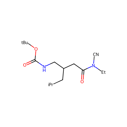 CCN(C#N)C(=O)CC(CNC(=O)OC(C)(C)C)CC(C)C